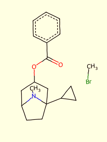 CBr.CN1C2CCC1(C1CC1)CC(OC(=O)c1ccccc1)C2